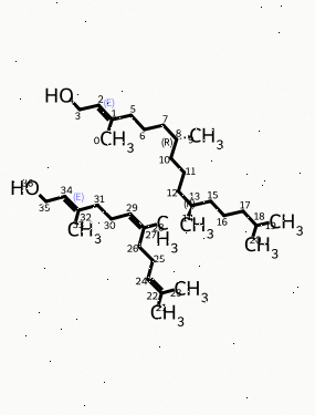 C/C(=C\CO)CCC[C@H](C)CCC[C@H](C)CCCC(C)C.CC(C)=CCCC(C)=CCC/C(C)=C/CO